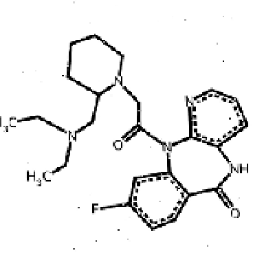 CCN(CC)CC1CCCCN1CC(=O)N1c2cc(F)ccc2C(=O)Nc2cccnc21